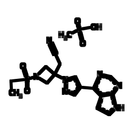 CCS(=O)(=O)N1CC(CC#N)(n2cc(-c3ncnc4[nH]ccc34)cn2)C1.CS(=O)(=O)O